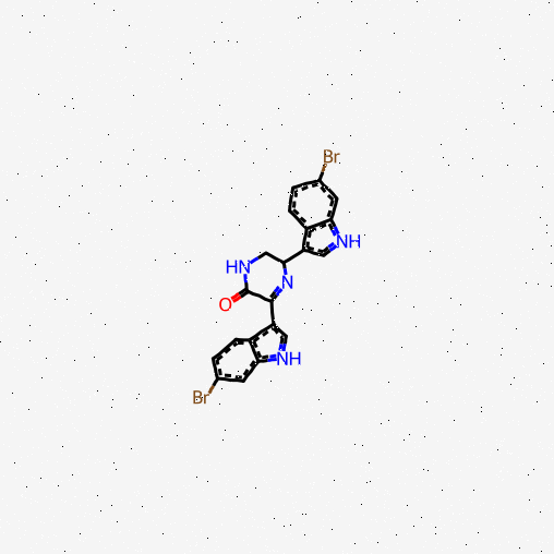 O=C1NCC(c2c[nH]c3cc(Br)ccc23)N=C1c1c[nH]c2cc(Br)ccc12